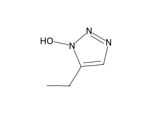 CCc1cnnn1O